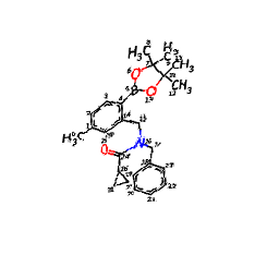 Cc1ccc(B2OC(C)(C)C(C)(C)O2)c(CN(Cc2ccccc2)C(=O)C2CC2)c1